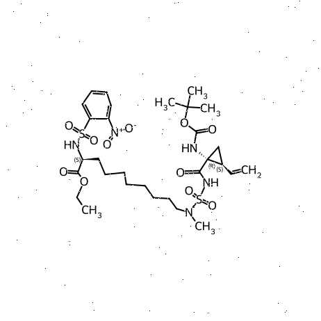 C=C[C@@H]1C[C@]1(NC(=O)OC(C)(C)C)C(=O)NS(=O)(=O)N(C)CCCCCCCC[C@H](NS(=O)(=O)c1ccccc1[N+](=O)[O-])C(=O)OCC